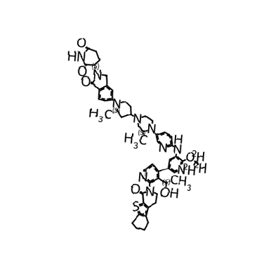 [2H]C([2H])([2H])Oc1ncc(-c2ccnc(N3CCc4c(sc5c4CCCC5)C3=O)c2[C@H](C)O)cc1Nc1ccc(N2CCN(C3CCN(c4ccc5c(c4)CN([C@H]4CCC(=O)NC4=O)C5=O)[C@@H](C)C3)C[C@@H]2C)cn1